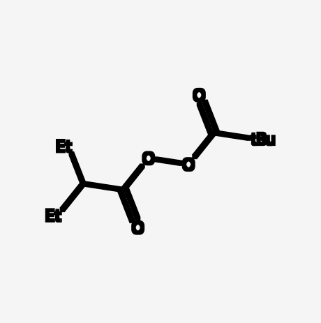 CCC(CC)C(=O)OOC(=O)C(C)(C)C